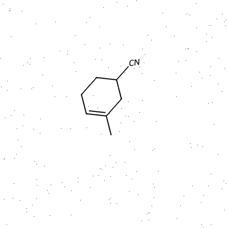 CC1=CCCC(C#N)C1